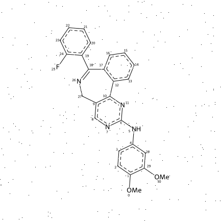 COc1ccc(Nc2ncc3c(n2)-c2ccccc2C(c2ccccc2F)=NC3)cc1OC